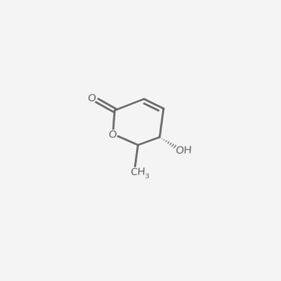 CC1OC(=O)C=C[C@@H]1O